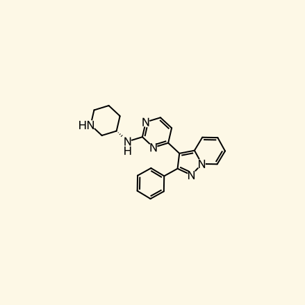 c1ccc(-c2nn3ccccc3c2-c2ccnc(N[C@H]3CCCNC3)n2)cc1